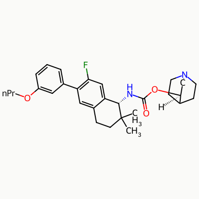 CCCOc1cccc(-c2cc3c(cc2F)[C@H](NC(=O)O[C@H]2CN4CCC2CC4)C(C)(C)CC3)c1